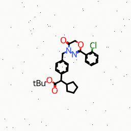 CC(C)(C)OC(=O)C(c1ccc(CN2N=C(c3ccccc3Cl)OCC2=O)cc1)C1CCCC1